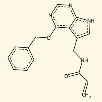 C=CC(=O)NCc1c[nH]c2ncnc(OCc3ccccc3)c12